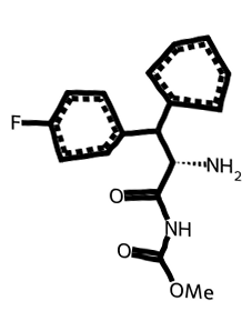 COC(=O)NC(=O)[C@@H](N)C(c1ccccc1)c1ccc(F)cc1